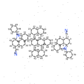 N#Cc1ccc2c3c1ccc1c(-c4ccc5c(-c6cccc7ccccc67)c6cc(-c7ccc8c9c7ccc7c(C#N)ccc(c79)n8-c7ccccc7)ccc6c(-c6cccc7ccccc67)c5c4)ccc(c13)n2-c1ccccc1